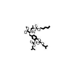 CCCCCOC(=O)OC(C)CN[C@@H](Cc1ccc(OC(=O)OCC(C)C)c(OC(=O)OCC(C)C)c1)C(=O)OC